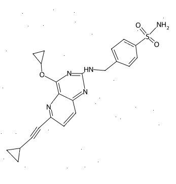 NS(=O)(=O)c1ccc(CNc2nc(OC3CC3)c3nc(C#CC4CC4)ccc3n2)cc1